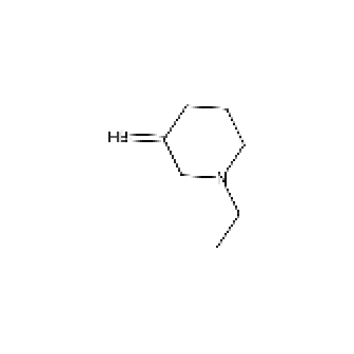 B=C1CCCN(CC)C1